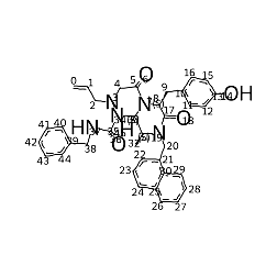 C=CCN1CC(=O)N2[C@@H](Cc3ccc(O)cc3)C(=O)N(Cc3cccc4ccccc34)[C@@H](C)[C@@H]2N1C(=O)NCc1ccccc1